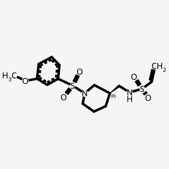 C=CS(=O)(=O)NC[C@H]1CCCN(S(=O)(=O)c2cccc(OC)c2)C1